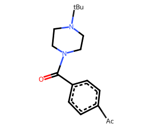 CC(=O)c1ccc(C(=O)N2CCN(C(C)(C)C)CC2)cc1